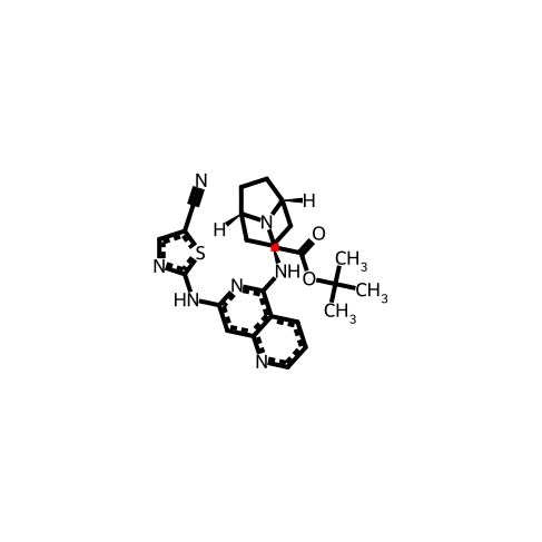 CC(C)(C)OC(=O)CN1[C@@H]2CC[C@H]1C[C@H](Nc1nc(Nc3ncc(C#N)s3)cc3ncccc13)C2